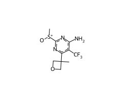 C[S+]([O-])c1nc(N)c(C(F)(F)F)c(C2(C)COC2)n1